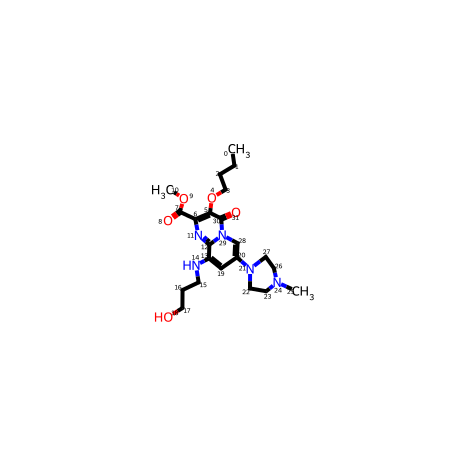 CCCCOc1c(C(=O)OC)nc2c(NCCCO)cc(N3CCN(C)CC3)cn2c1=O